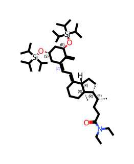 C=C1/C(=C\C=C2CCC[C@]3(C)[C@@H]([C@H](C)CCC(=O)N(CC)CC)CC[C@@H]23)C[C@H](O[Si](C(C)C)(C(C)C)C(C)C)C[C@H]1O[Si](C(C)C)(C(C)C)C(C)C